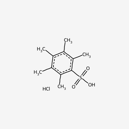 Cc1c(C)c(C)c(S(=O)(=O)O)c(C)c1C.Cl